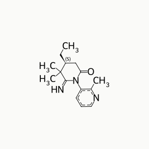 CC[C@H]1CC(=O)N(c2cccnc2C)C(=N)C1(C)C